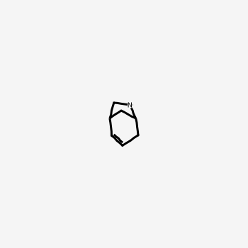 C1=CC2C[N]C(C1)C2